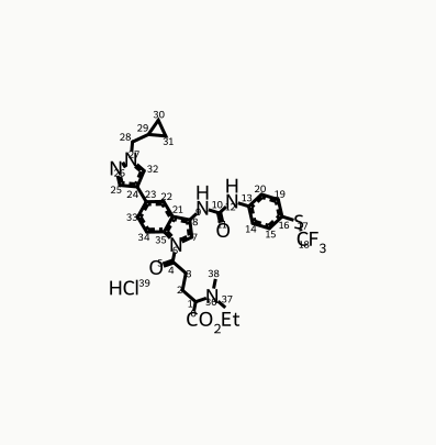 CCOC(=O)C(CCC(=O)n1cc(NC(=O)Nc2ccc(SC(F)(F)F)cc2)c2cc(-c3cnn(CC4CC4)c3)ccc21)N(C)C.Cl